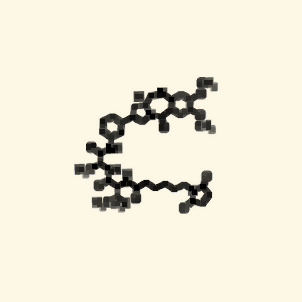 COc1cc2c(cc1OC)C(=O)N1C=C(c3cccc(NC(=O)[C@H](C)NC(=O)[C@@H](NC(=O)CCCCCN4C(=O)C=CC4=O)C(C)C)c3)C[C@H]1C=N2